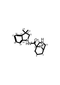 CN1C2C[CH]CC1(C(=O)NN1CC(C)(C)c3ccccc31)CNC2